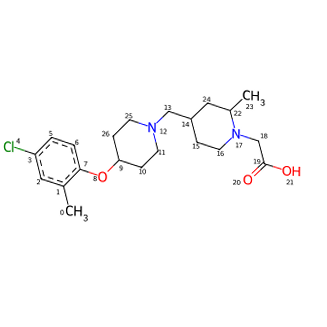 Cc1cc(Cl)ccc1OC1CCN(CC2CCN(CC(=O)O)C(C)C2)CC1